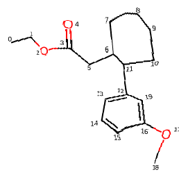 CCOC(=O)CC1CCCCC1c1cccc(OC)c1